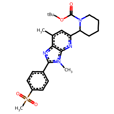 Cc1cc(C2CCCCN2C(=O)OC(C)(C)C)nc2c1nc(-c1ccc(S(C)(=O)=O)cc1)n2C